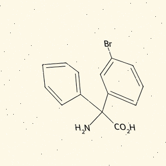 NC(C(=O)O)(c1ccccc1)c1cccc(Br)c1